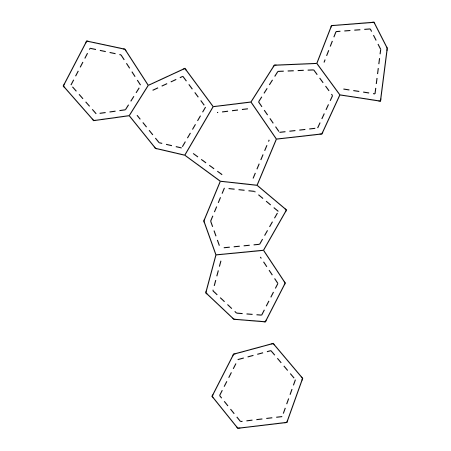 c1ccc2cc3c(cc2c1)c1cc2ccccc2cc1c1cc2ccccc2cc31.c1ccccc1